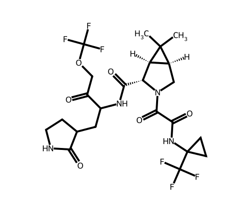 CC1(C)[C@@H]2[C@@H](C(=O)NC(CC3CCNC3=O)C(=O)COC(F)(F)F)N(C(=O)C(=O)NC3(C(F)(F)F)CC3)C[C@@H]21